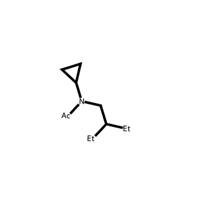 CCC(CC)CN(C(C)=O)C1CC1